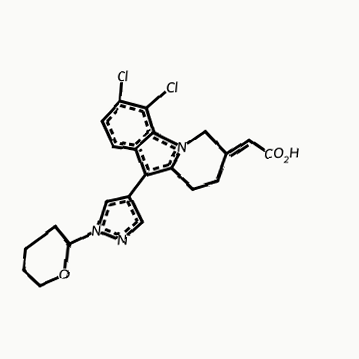 O=C(O)C=C1CCc2c(-c3cnn(C4CCCCO4)c3)c3ccc(Cl)c(Cl)c3n2C1